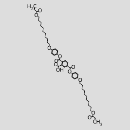 C=CC(=O)OCCCCCCCCCCCOc1ccc(OC(=O)c2ccc(C(=O)Oc3ccc(OCCCCCCCCCCCOC(=O)C=C)cc3)c(C(=O)O)c2)cc1